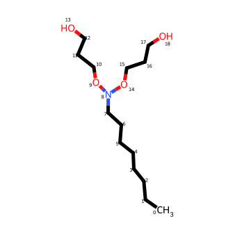 CCCCCCCCN(OCCCO)OCCCO